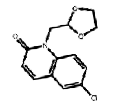 O=c1ccc2cc(Cl)ccc2n1CC1OCCO1